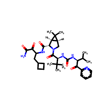 CC(C)[C@H](NC(=O)N[C@H](C(=O)N1C[C@H]2[C@@H]([C@H]1C(=O)NC(CC1CCC1)C(=O)C(N)=O)C2(C)C)C(C)(C)C)C(=O)c1ccccn1